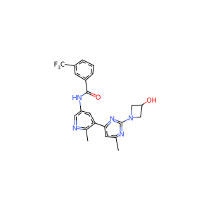 Cc1cc(-c2cc(NC(=O)c3cccc(C(F)(F)F)c3)cnc2C)nc(N2CC(O)C2)n1